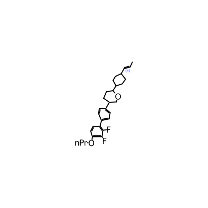 C/C=C/C1CCC(C2CCC(c3ccc(-c4ccc(OCCC)c(F)c4F)cc3)CO2)CC1